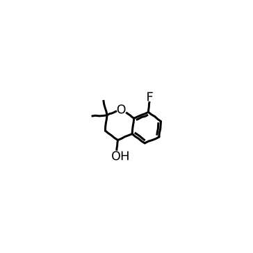 CC1(C)CC(O)c2cccc(F)c2O1